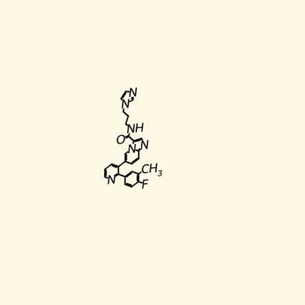 Cc1cc(-c2ncccc2-c2ccc3ncc(C(=O)NCCCn4ccnc4)n3c2)ccc1F